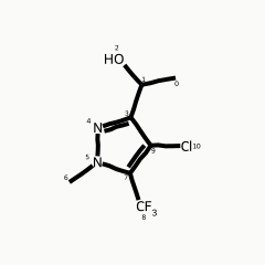 CC(O)c1nn(C)c(C(F)(F)F)c1Cl